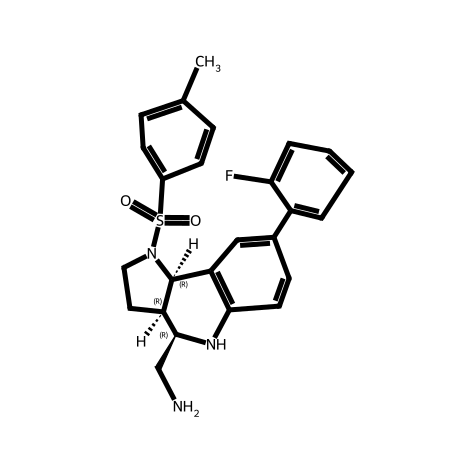 Cc1ccc(S(=O)(=O)N2CC[C@@H]3[C@H](CN)Nc4ccc(-c5ccccc5F)cc4[C@@H]32)cc1